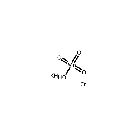 [Cr].[KH].[O]=[Mn](=[O])(=[O])[OH]